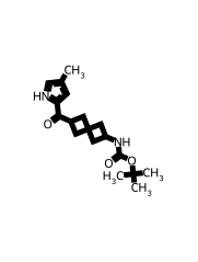 Cc1c[nH]c(C(=O)C2CC3(CC(NC(=O)OC(C)(C)C)C3)C2)c1